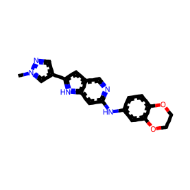 Cn1cc(-c2cc3cnc(Nc4ccc5c(c4)OCCO5)cc3[nH]2)cn1